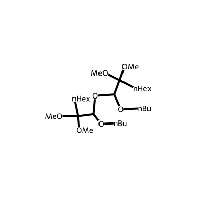 CCCCCCC(OC)(OC)C(OCCCC)OC(OCCCC)C(CCCCCC)(OC)OC